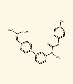 CO/C(=C/c1ccc(-c2cccc(N(C)C(=O)Oc3ccc([N+](=O)[O-])cc3)c2)cc1)C(=O)O